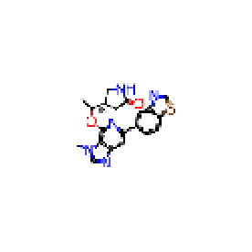 CC(Oc1nc(-c2ccc3scnc3c2)cc2ncn(C)c12)[C@H]1CNC(=O)C1